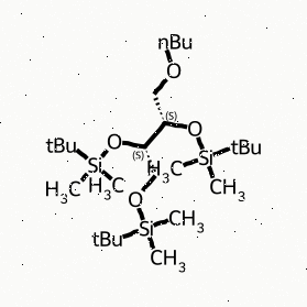 CCCCOC[C@H](O[Si](C)(C)C(C)(C)C)[C@H](CO[Si](C)(C)C(C)(C)C)O[Si](C)(C)C(C)(C)C